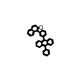 C1=Cc2c(c(-c3ccccc3)c3ccccc3c2-c2ccc3oc4ccc5ccccc5c4c3c2)CC1